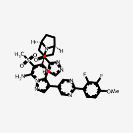 COc1ccc(-c2ncc(-c3cnn4c(N)c(S(C)(=O)=O)c([C@H]5C[C@H]6CC[C@@H](C5)N6C(=O)c5nnc[nH]5)nc34)cn2)c(F)c1F